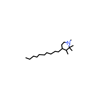 CCCCCCCCCCC1CCN(C)C(C)(C)C1C